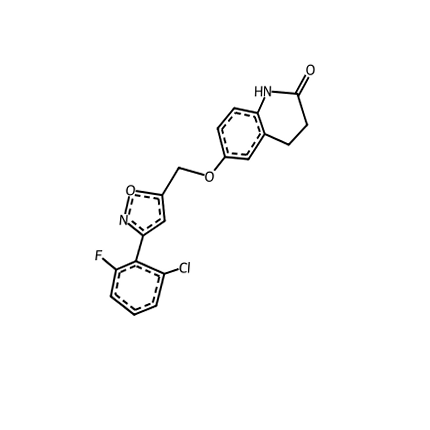 O=C1CCc2cc(OCc3cc(-c4c(F)cccc4Cl)no3)ccc2N1